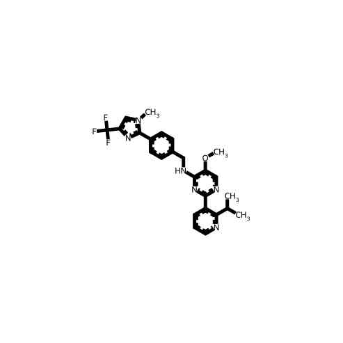 COc1cnc(-c2cccnc2C(C)C)nc1NCc1ccc(-c2nc(C(F)(F)F)cn2C)cc1